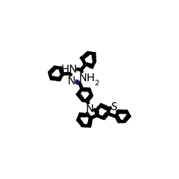 NC(NC(/N=C/c1ccc(-n2c3ccccc3c3cc4c(cc32)sc2ccccc24)cc1)c1ccccc1)c1ccccc1